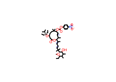 CCC(OC)C(C)C(C)C(O)CC(C)(C)/C=C/C=C(\C)C1OC(=O)CC(O[Si](CC)(CC)C(C)C)CCC(C)(C)C(OC(=O)Oc2ccc([N+](=O)[O-])cc2)/C=C/C1C